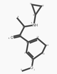 COC1=CC(C(=O)C(C)NC2CC2)=CCC1